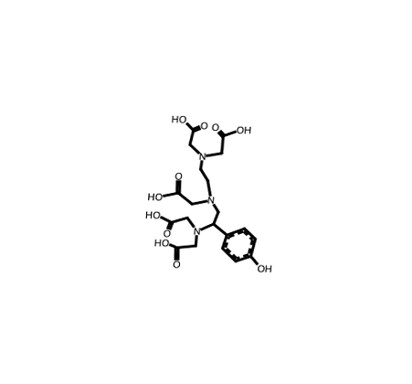 O=C(O)CN(CCN(CC(=O)O)CC(c1ccc(O)cc1)N(CC(=O)O)CC(=O)O)CC(=O)O